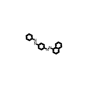 c1ccc(N=Nc2ccc(N=Nc3cccc4ccccc34)cc2)cc1